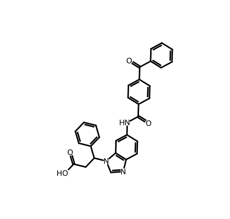 O=C(O)CC(c1ccccc1)n1cnc2ccc(NC(=O)c3ccc(C(=O)c4ccccc4)cc3)cc21